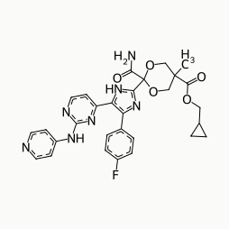 CC1(C(=O)OCC2CC2)COC(C(N)=O)(c2nc(-c3ccc(F)cc3)c(-c3ccnc(Nc4ccncc4)n3)[nH]2)OC1